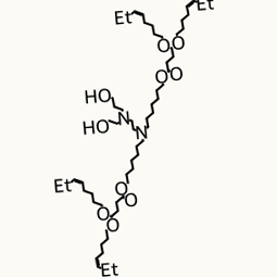 CC/C=C\CCCCOC(CCC(=O)OCCCCCCCN(CCCCCCCOC(=O)CCC(OCCCC/C=C\CC)OCCCC/C=C\CC)CCN(CCO)CCCO)OCCCC/C=C\CC